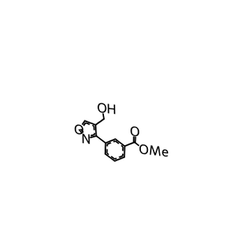 COC(=O)c1cccc(-c2nocc2CO)c1